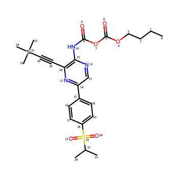 CCCCOC(=O)OC(=O)Nc1ncc(-c2ccc(S(=O)(=O)C(C)C)cc2)nc1C#C[Si](C)(C)C